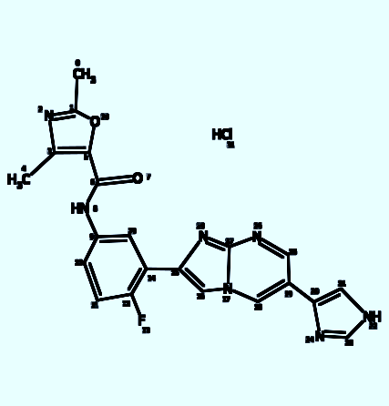 Cc1nc(C)c(C(=O)Nc2ccc(F)c(-c3cn4cc(-c5c[nH]cn5)cnc4n3)c2)o1.Cl